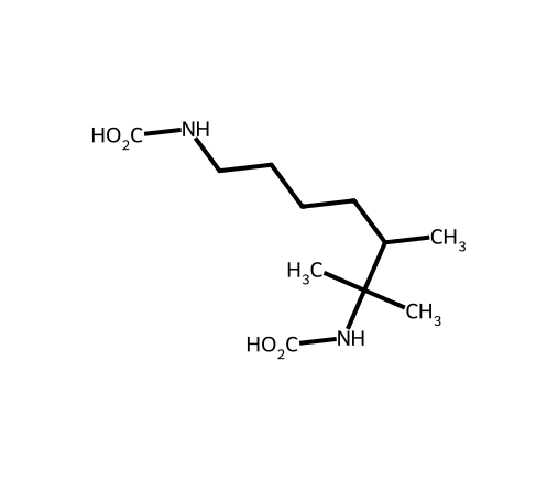 CC(CCCCNC(=O)O)C(C)(C)NC(=O)O